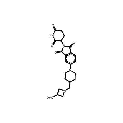 O=CC1CN(CC2CCN(c3ccc4c(c3)C(=O)N(C3CCC(=O)NC3=O)C4=O)CC2)C1